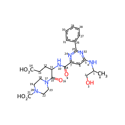 CC(CO)Nc1cc(C(=O)NC(CCC(=O)O)C(=O)N2CCN(C(=O)O)CC2)nc(-c2ccccc2)n1